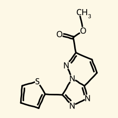 COC(=O)c1ccc2nnc(-c3cccs3)n2n1